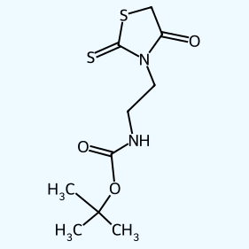 CC(C)(C)OC(=O)NCCN1C(=O)CSC1=S